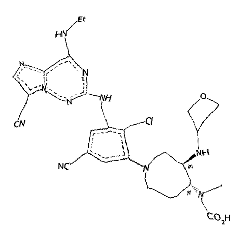 CCNc1nc(Nc2cc(C#N)cc(N3CC[C@@H](N(C)C(=O)O)[C@H](NC4COC4)C3)c2Cl)nn2c(C#N)cnc12